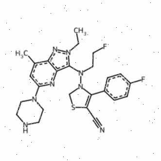 CCn1nc2c(C)cc(N3CCNCC3)nc2c1N(CCF)N1CSC(C#N)=C1c1ccc(F)cc1